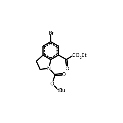 CCOC(=O)C(=O)c1cc(Br)cc2c1N(C(=O)OC(C)(C)C)CC2